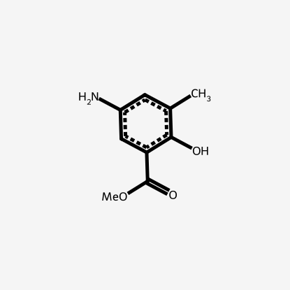 COC(=O)c1cc(N)cc(C)c1O